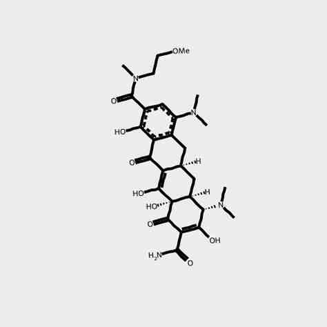 COCCN(C)C(=O)c1cc(N(C)C)c2c(c1O)C(=O)C1=C(O)[C@]3(O)C(=O)C(C(N)=O)=C(O)[C@@H](N(C)C)[C@@H]3C[C@@H]1C2